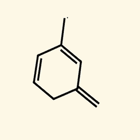 [CH2]C1=CC(=C)CC=C1